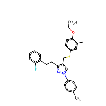 Cc1cc(SCc2cn(-c3ccc(C(F)(F)F)cc3)nc2CCc2ccccc2F)ccc1OCC(=O)O